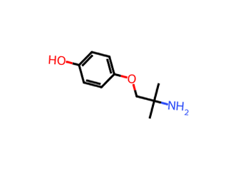 CC(C)(N)COc1ccc(O)cc1